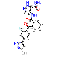 Cc1cc(-c2ccc(C(=O)C3CCCCC3C(=O)Nc3cn[nH]c3C(N)=O)c(F)c2)[nH]n1